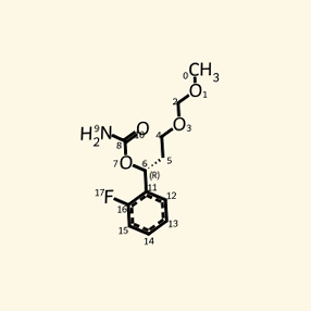 COCOCC[C@@H](OC(N)=O)c1ccccc1F